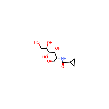 O=C[C@@H](NC(=O)C1CC1)[C@@H](O)[C@H](O)[C@H](O)CO